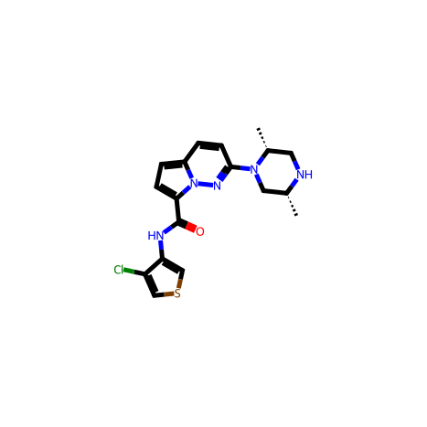 C[C@@H]1CN(c2ccc3ccc(C(=O)Nc4cscc4Cl)n3n2)[C@H](C)CN1